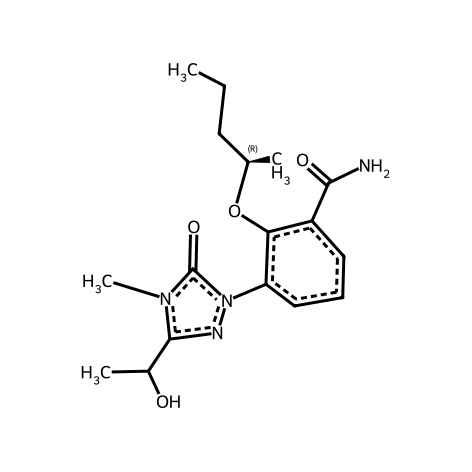 CCC[C@@H](C)Oc1c(C(N)=O)cccc1-n1nc(C(C)O)n(C)c1=O